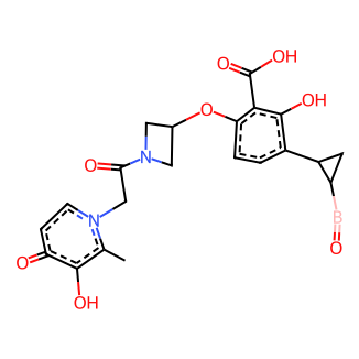 Cc1c(O)c(=O)ccn1CC(=O)N1CC(Oc2ccc(C3CC3B=O)c(O)c2C(=O)O)C1